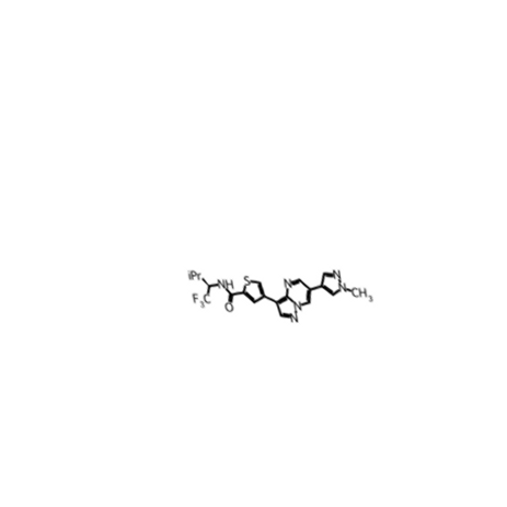 CC(C)[C@@H](NC(=O)c1cc(-c2cnn3cc(-c4cnn(C)c4)cnc23)cs1)C(F)(F)F